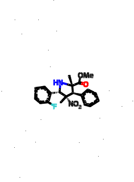 COC(=O)[C@@]1(C)N[C@@H](c2ccccc2F)[C@@](C)([N+](=O)[O-])[C@@H]1c1ccccc1